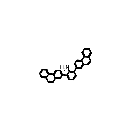 Nc1c(-c2ccc3c(ccc4ccccc43)c2)cccc1-c1ccc2c(ccc3ccccc32)c1